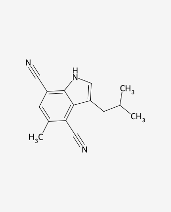 Cc1cc(C#N)c2[nH]cc(CC(C)C)c2c1C#N